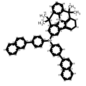 CC1(C)C2=c3c(c4cc(N(c5ccc(-c6ccc7ccccc7c6)cc5)c5ccc(-c6ccc7ccccc7c6)cc5)cc5c4n3-c3c1cccc3C5(C)C)=CCC2